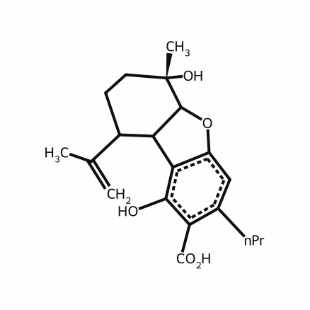 C=C(C)C1CC[C@](C)(O)C2Oc3cc(CCC)c(C(=O)O)c(O)c3C12